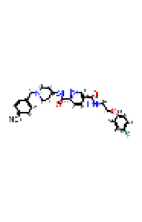 N#Cc1ccc(CN2CCC(NC(=O)c3ccc(C(=O)NCCOc4ccc(F)cc4)cn3)CC2)cc1